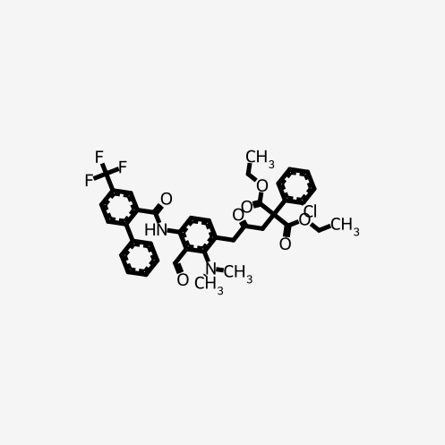 CCOC(=O)C(CC(=O)Cc1ccc(NC(=O)c2cc(C(F)(F)F)ccc2-c2ccccc2)c(C=O)c1N(C)C)(C(=O)OCC)c1ccccc1Cl